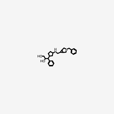 OCC(O)C(c1ccccc1)C1CCC(NCC2C3CN(Cc4ccccc4)CC23)C1